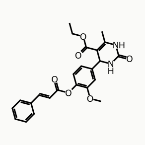 CCOC(=O)C1=C(C)NC(=O)NC1c1ccc(OC(=O)C=Cc2ccccc2)c(OC)c1